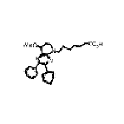 COC1CCN(CCCCCCC(=O)O)c2nc(-c3ccccc3)c(-c3ccccc3)nc21